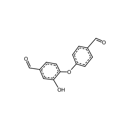 O=Cc1ccc(Oc2ccc(C=O)cc2O)cc1